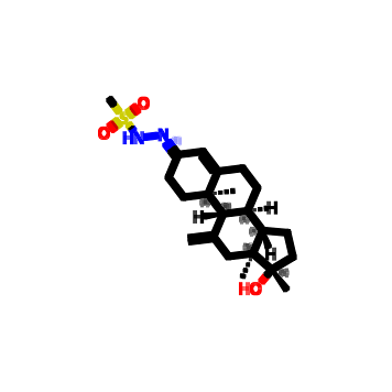 C=C1C[C@@]2(C)[C@@H](CC[C@]2(C)O)[C@@H]2CCC3=C/C(=N/NS(C)(=O)=O)CC[C@]3(C)[C@@H]12